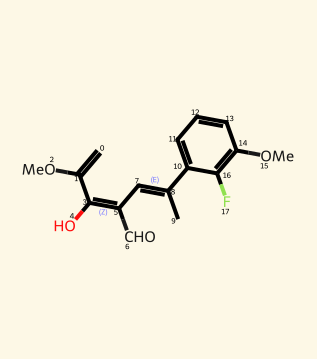 C=C(OC)/C(O)=C(C=O)\C=C(/C)c1cccc(OC)c1F